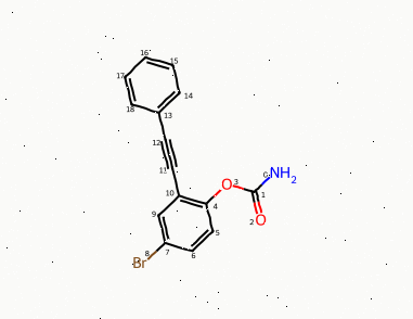 NC(=O)Oc1ccc(Br)cc1C#Cc1ccccc1